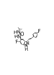 CC(C)NC(=O)Nc1cc2c(C=Cc3ccc(F)cc3)n[nH]c2cc1F